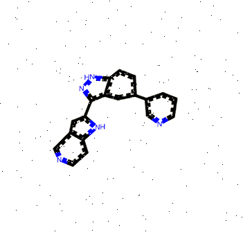 c1cncc(-c2ccc3[nH]nc(-c4cc5cnccc5[nH]4)c3c2)c1